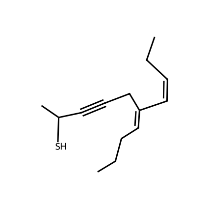 CC/C=C\C(=C\CCC)CC#CC(C)S